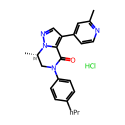 CCCc1ccc(N2C[C@H](C)n3ncc(-c4ccnc(C)c4)c3C2=O)cc1.Cl